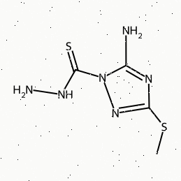 CSc1nc(N)n(C(=S)NN)n1